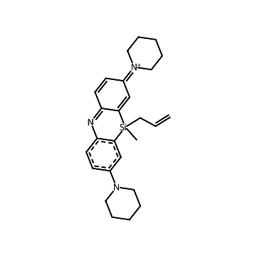 C=CC[Si]1(C)C2=CC(=[N+]3CCCCC3)C=CC2=Nc2ccc(N3CCCCC3)cc21